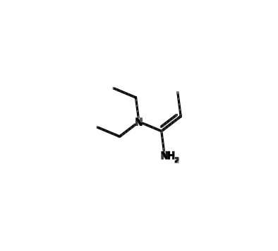 CC=C(N)N(CC)CC